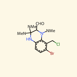 CNN1c2c(ccc(Br)c2CCl)NC(NC)(NC)C1C=O